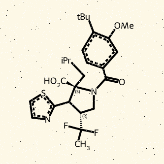 COc1cc(C(=O)N2C[C@H](C(C)(F)F)C(c3nccs3)[C@@]2(CC(C)C)C(=O)O)ccc1C(C)(C)C